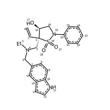 C=C[C@@]1(CN(CC)Cc2ccc3[nH]ccc3c2)[C@@H](O)CN(c2ccccc2)S1(=O)=O